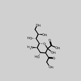 N[C@H]1[C@H]([C@H](O)[C@H](O)CO)OC(O)(C(=O)O)C(C(=O)CO)[C@@H]1O